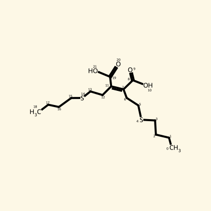 CCCCSCC/C(C(=O)O)=C(\CCSCCCC)C(=O)O